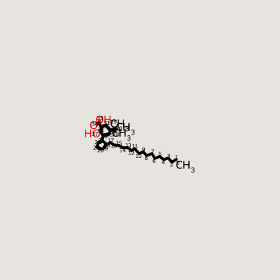 CCCCCCCCCCCCCCCCCCc1ccccc1-c1cc(C(C)(C)C)cc(C(=O)O)c1O